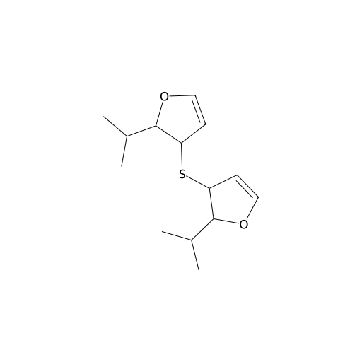 CC(C)C1OC=CC1SC1C=COC1C(C)C